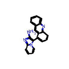 Nc1nc2ccccn2c1-c1cccc2nc3ccccc3cc12